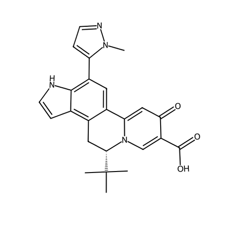 Cn1nccc1-c1cc2c(c3cc[nH]c13)C[C@@H](C(C)(C)C)n1cc(C(=O)O)c(=O)cc1-2